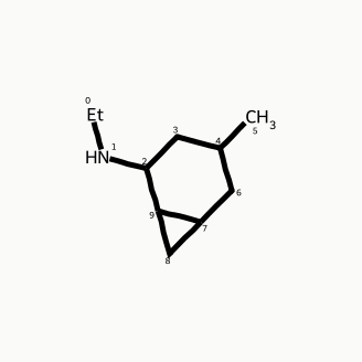 CCNC1CC(C)CC2CC21